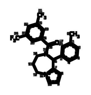 Cc1cccc(C2c3cccn3CCCN2C(=O)c2cc(C(F)(F)F)cc(C(F)(F)F)c2)c1